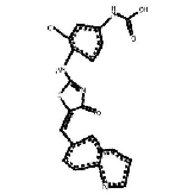 O=C(O)Nc1ccc(NC2=NC(=O)C(=Cc3ccc4ncccc4c3)S2)c(Cl)c1